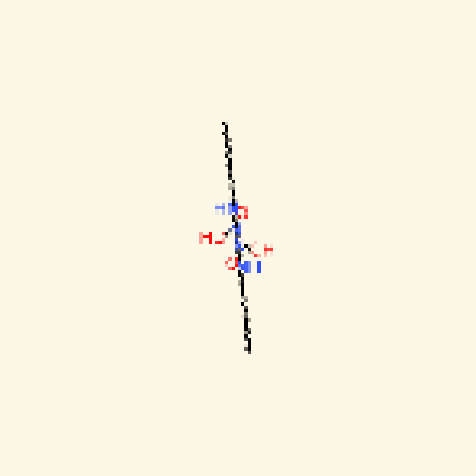 CCCCCCCCCCCCCCCCNC(=O)CCN(CCO)CCN(CCO)CCC(=O)NCCCCCCCCCCCCCCCC